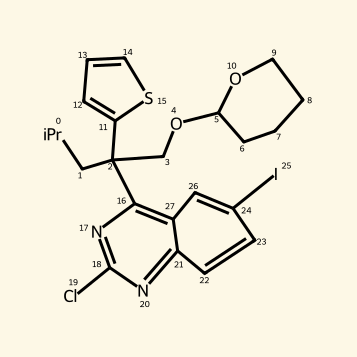 CC(C)CC(COC1CCCCO1)(c1cccs1)c1nc(Cl)nc2ccc(I)cc12